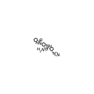 CN1CCN(Cc2cccc(C(=O)Nc3ccc(NC(=O)c4ccccc4)cc3CN)c2)CC1